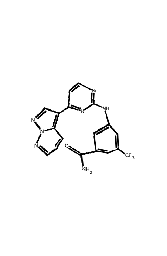 NC(=O)c1cc(Nc2nccc(-c3cnn4ncccc34)n2)cc(C(F)(F)F)c1